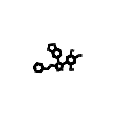 CC(C)c1cc(-c2nnc(SCc3cccnc3)n2-c2ccc3c(c2)OCO3)c(O)cc1O